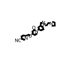 N#Cc1ccc(COc2ccn(-c3ccc4c(cnn4CCN4CCCC4)c3)c(=O)c2)nc1